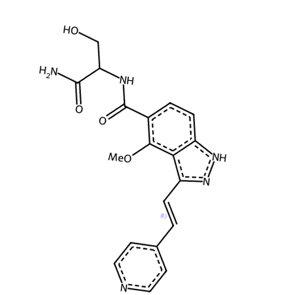 COc1c(C(=O)NC(CO)C(N)=O)ccc2[nH]nc(/C=C/c3ccncc3)c12